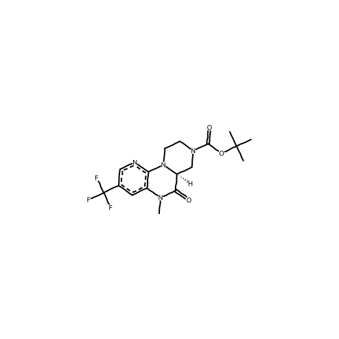 CN1C(=O)[C@@H]2CN(C(=O)OC(C)(C)C)CCN2c2ncc(C(F)(F)F)cc21